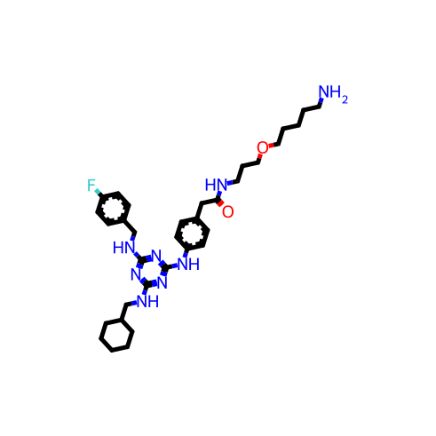 NCCCCCOCCCNC(=O)Cc1ccc(Nc2nc(NCc3ccc(F)cc3)nc(NCC3CCCCC3)n2)cc1